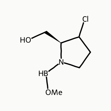 COBN1CCC(Cl)[C@@H]1CO